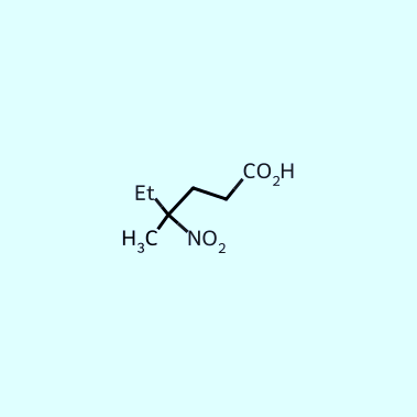 CCC(C)(CCC(=O)O)[N+](=O)[O-]